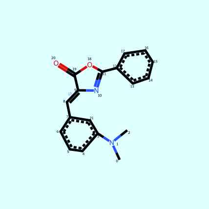 CN(C)c1cccc(/C=C2\N=C(c3ccccc3)OC2=O)c1